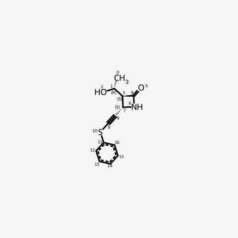 C[C@@H](O)[C@H]1C(=O)N[C@@H]1C#CSc1ccccc1